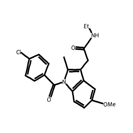 CCNC(=O)Cc1c(C)n(C(=O)c2ccc(Cl)cc2)c2ccc(OC)cc12